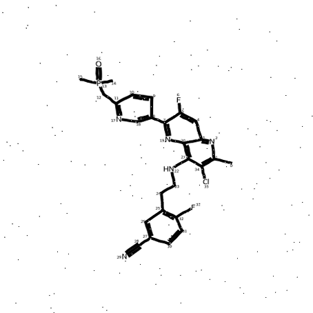 Cc1nc2cc(F)c(-c3ccc(CP(C)(C)=O)nc3)nc2c(NCCc2cc(C#N)ccc2F)c1Cl